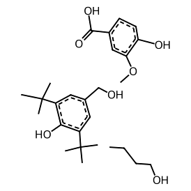 CC(C)(C)c1cc(CO)cc(C(C)(C)C)c1O.CCCCO.COc1cc(C(=O)O)ccc1O